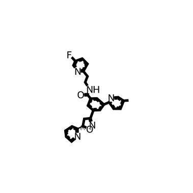 Cc1ccc(-c2cc(C(=O)NCCc3ccc(F)cn3)cc(C3=NO[C@@H](c4ccccn4)C3)c2)nc1